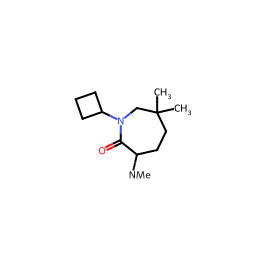 CNC1CCC(C)(C)CN(C2CCC2)C1=O